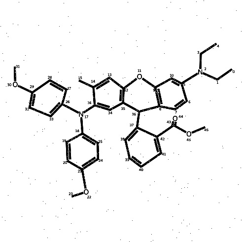 CCN(CC)c1ccc2c(c1)Oc1cc(C)c(N(c3ccc(OC)cc3)c3ccc(OC)cc3)cc1C2c1ccccc1C(=O)OC